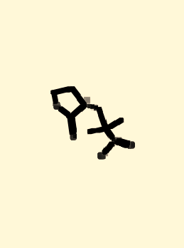 CC(C)(C[C@H]1CCOC1=O)[N+](=O)[O-]